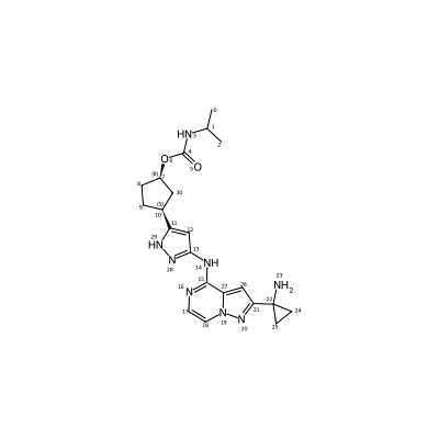 CC(C)NC(=O)O[C@@H]1CC[C@H](c2cc(Nc3nccn4nc(C5(N)CC5)cc34)n[nH]2)C1